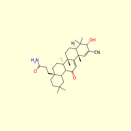 CC1(C)CC[C@]2(CCC(N)=O)CC[C@]3(C)C(C(=O)C=C4[C@@]5(C)C=C(C#N)C(O)C(C)(C)[C@@H]5CC[C@]43C)C2C1